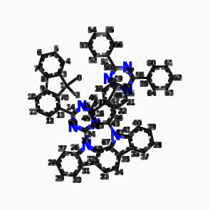 CC1(C)c2ccccc2-c2cccc(-c3nc(-c4ccccc4)nc(-n4c5ccccc5c5ccc6c7ccccc7n(-c7cccc(-c8nc(-c9ccccc9)nc(-c9ccccc9)n8)c7)c6c54)n3)c21